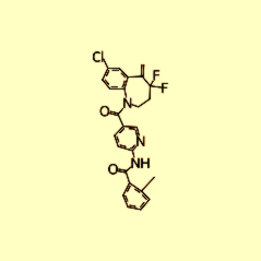 C=C1c2cc(Cl)ccc2N(C(=O)c2ccc(NC(=O)c3ccccc3C)nc2)CCC1(F)F